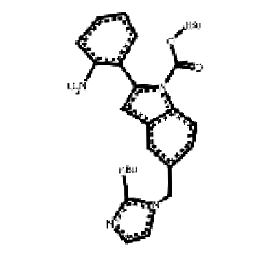 CCCCc1nccn1Cc1ccc2c(c1)cc(-c1ccccc1[N+](=O)[O-])n2C(=O)OC(C)(C)C